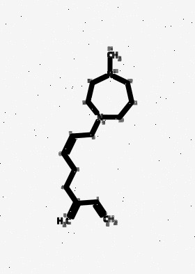 C=CC(=C)CC/C=C\CN1CCCN(C)CC1